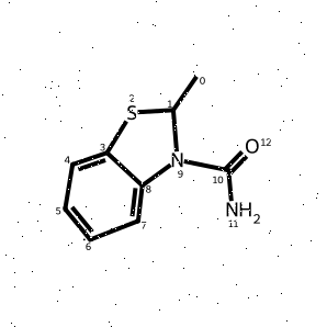 CC1Sc2cc[c]cc2N1C(N)=O